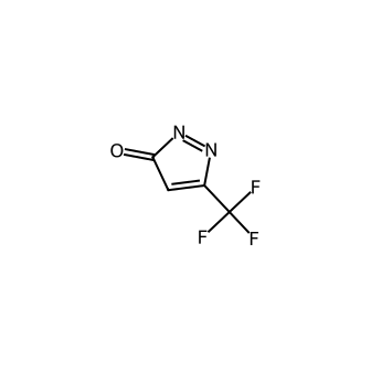 O=C1C=C(C(F)(F)F)N=N1